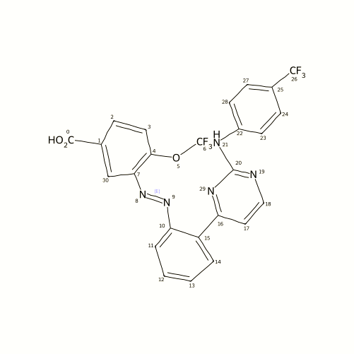 O=C(O)c1ccc(OC(F)(F)F)c(/N=N/c2ccccc2-c2ccnc(Nc3ccc(C(F)(F)F)cc3)n2)c1